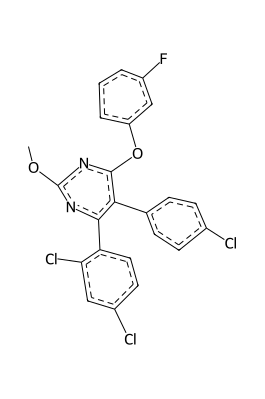 COc1nc(Oc2cccc(F)c2)c(-c2ccc(Cl)cc2)c(-c2ccc(Cl)cc2Cl)n1